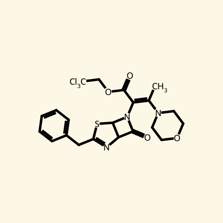 CC(=C(C(=O)OCC(Cl)(Cl)Cl)N1C(=O)C2N=C(Cc3ccccc3)SC21)N1CCOCC1